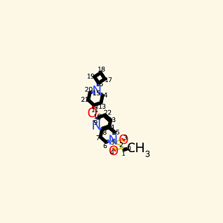 CCS(=O)(=O)N1CCc2nc(OC3CCN(C4CCC4)CC3)ccc2C1